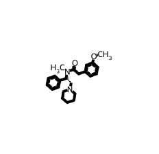 COc1cccc(CC(=O)N(C)[C@H](CN2CCCCC2)c2ccccc2)c1